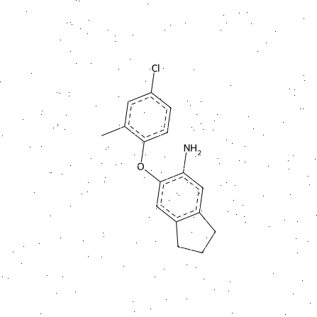 Cc1cc(Cl)ccc1Oc1cc2c(cc1N)CCC2